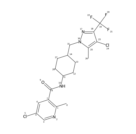 Cc1ncc(Cl)cc1C(=O)NC1CCC(Cn2nc(C(F)(F)F)c(Cl)c2C)CC1